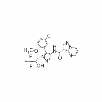 COc1ccc(Cl)cc1-c1c(NC(=O)c2cnn3cccnc23)cnn1C[C@@H](O)C(F)(F)F